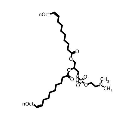 CCCCCCCC/C=C\CCCCCCCC(=O)OCC(CNS(=O)(=O)OCCN(C)C)OC(=O)CCCCCCC/C=C\CCCCCCCC